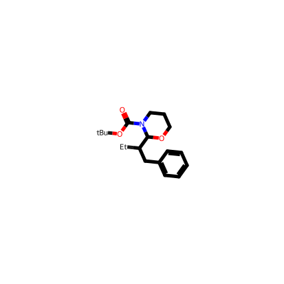 CCC(Cc1ccccc1)C1OCCCN1C(=O)OC(C)(C)C